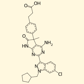 CC1(c2ccc(CCC(=O)O)cc2)C(=O)Nc2nc(-c3nn(CC4CCCC4)c4cc(Cl)ccc34)nc(N)c21